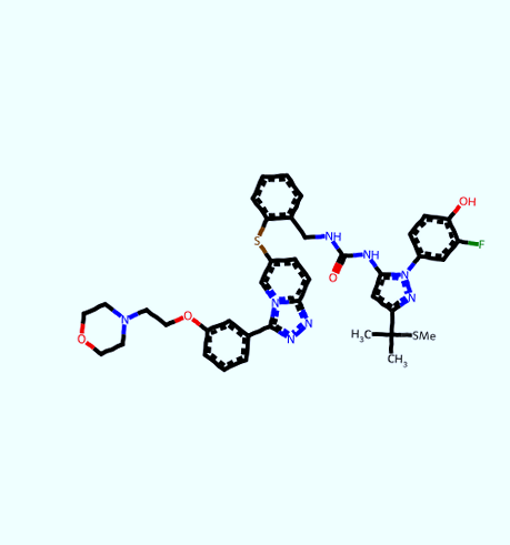 CSC(C)(C)c1cc(NC(=O)NCc2ccccc2Sc2ccc3nnc(-c4cccc(OCCN5CCOCC5)c4)n3c2)n(-c2ccc(O)c(F)c2)n1